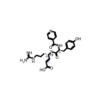 N=C(N)NCCC[C@@H](/C=C/C(=O)O)NC(=O)[C@H](Cc1ccc(O)cc1)NC(=O)c1ccncc1